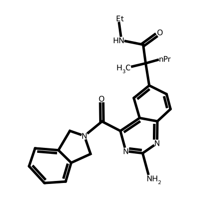 CCCC(C)(C(=O)NCC)c1ccc2nc(N)nc(C(=O)N3Cc4ccccc4C3)c2c1